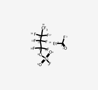 CCC(=O)F.O=S(=O)(F)OC(F)(F)C(F)(F)C(F)(F)C(F)(F)F